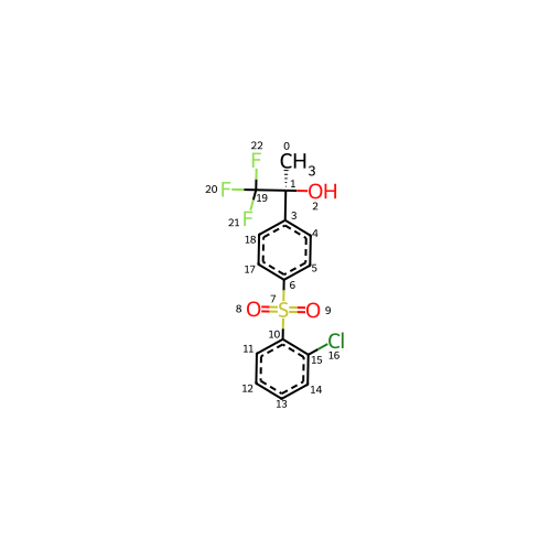 C[C@](O)(c1ccc(S(=O)(=O)c2ccccc2Cl)cc1)C(F)(F)F